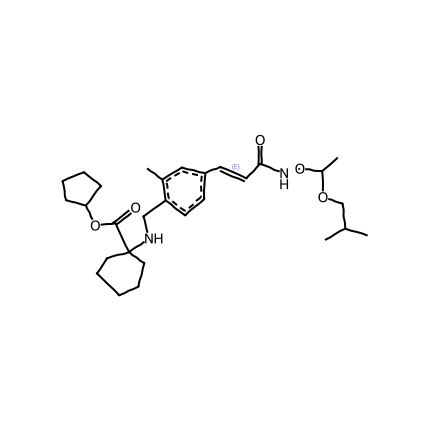 Cc1cc(/C=C/C(=O)NOC(C)OCC(C)C)ccc1CNC1(C(=O)OC2CCCC2)CCCCC1